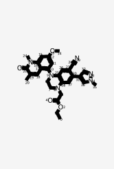 CCOC(=O)CN1CCN(c2cc(OC)cc3c2cc(C)c(=O)n3C)c2cc(C#N)c(-c3cnn(C)c3)cc21